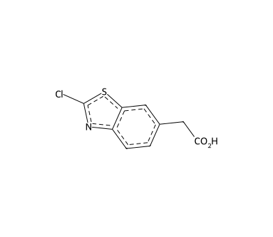 O=C(O)Cc1ccc2nc(Cl)sc2c1